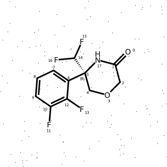 O=C1COC[C@](c2cccc(F)c2F)(C(F)F)N1